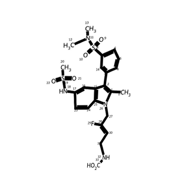 Cc1c(-c2cccc(S(=O)(=O)N(C)C)c2)c2cc(NS(C)(=O)=O)ccc2n1C/C(F)=C/CNC(=O)O